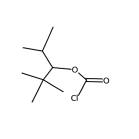 CC(C)C(OC(=O)Cl)C(C)(C)C